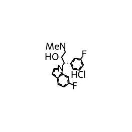 CNC[C@@H](O)[C@H](c1cccc(F)c1)n1ccc2ccc(F)cc21.Cl